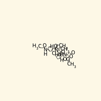 CCO[C@@H]1OC(=O)CC1NC(=O)[C@@H]1[C@H]2CCC(C2)N1C(=O)[C@@H](NC(=O)c1ccc(NC(=O)CC)cc1Cl)C(C)(C)C